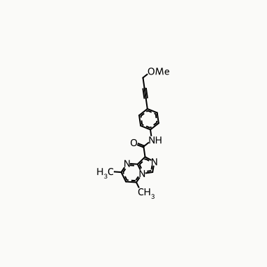 COCC#Cc1ccc(NC(=O)c2ncn3c(C)cc(C)nc23)cc1